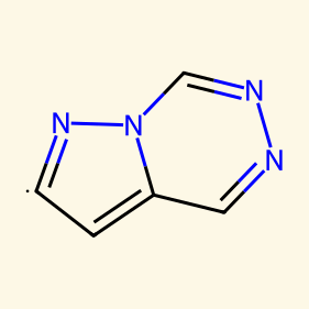 [c]1cc2cnncn2n1